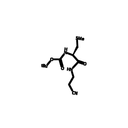 CSC[C@H](NC(=O)OC(C)(C)C)C(=O)NCCC#N